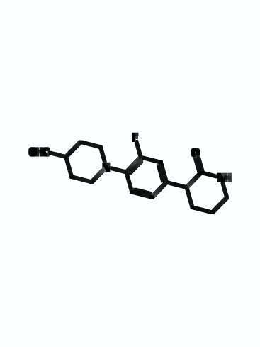 O=CC1CCN(c2ccc(C3CCCNC3=O)cc2F)CC1